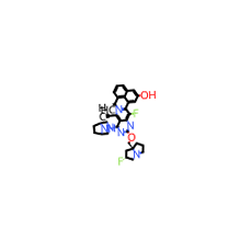 C#Cc1cccc2cc(O)cc(-c3nc(C#C)c4c(N5CC6CCC(C5)N6)nc(OC[C@@]56CCCN5C[C@H](F)C6)nc4c3F)c12